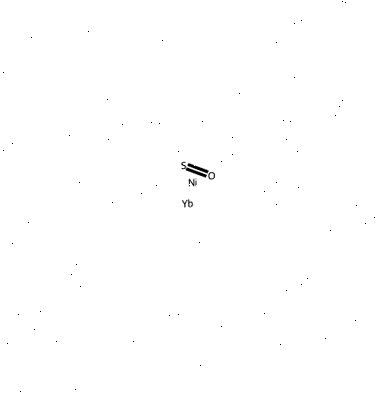 O=S.[Ni].[Yb]